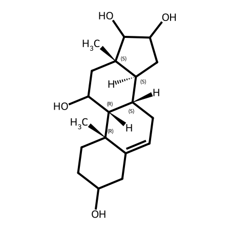 C[C@]12CCC(O)CC1=CC[C@@H]1[C@H]2C(O)C[C@]2(C)C(O)C(O)C[C@@H]12